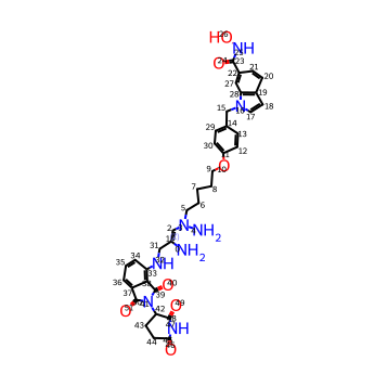 N/C(=C\N(N)CCCCCOc1ccc(Cn2ccc3ccc(C(=O)NO)cc32)cc1)CNc1cccc2c1C(=O)N(C1CCC(=O)NC1=O)C2=O